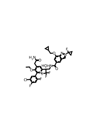 CCOc1c(CC(N)=O)cc([C@@](O)(CNC(=O)c2cc(OCC3CC3)c3nn(C4(F)CC4)cc3c2)C(F)(F)F)nc1-c1cc(Cl)c(F)cc1F